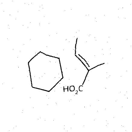 C1CCCCC1.CC=C(C)C(=O)O